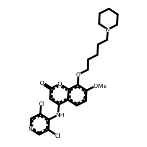 COc1ccc2c(Nc3c(Cl)cncc3Cl)cc(=O)oc2c1OCCCCCN1CCCCC1